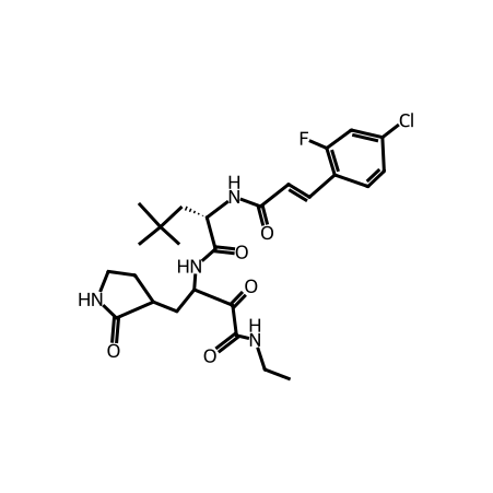 CCNC(=O)C(=O)C(CC1CCNC1=O)NC(=O)[C@H](CC(C)(C)C)NC(=O)/C=C/c1ccc(Cl)cc1F